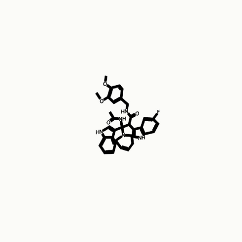 COc1ccc(CNC(=O)C(c2c[nH]c3ccc(F)cc23)C(NC(C)=O)(c2c[nH]c3ccccc23)N2CC=CCC2)cc1OC